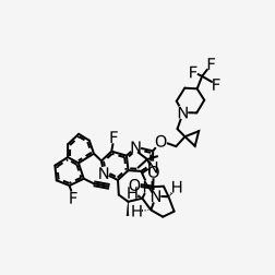 C#Cc1c(F)ccc2cccc(-c3nc4c5c(nc(OCC6(CN7CCC(C(F)(F)F)CC7)CC6)nc5c3F)N3C[C@H]5CC[C@@H]([C@@H]3[C@@H](C)C4)N5C(=O)OC(C)(C)C)c12